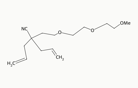 C=CCC(C#N)(CC=C)CCOCCOCCOC